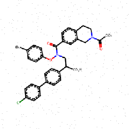 CC(C)COC(=O)N1CCc2ccc(C(=O)N(CC(C(=O)O)c3ccc(-c4ccc(Cl)cc4)cc3)Oc3ccc(C(C)(C)C)cc3)cc2C1